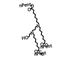 CCCCCOC(=O)CCCCCCCN(CCCCCCCC(=O)OCCCCC)CCCN(CCO)CCCCCCCC(=C=O)OCCCCC